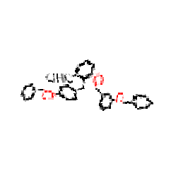 O=[C]c1cccc(OCc2cccc(OCc3ccccc3)c2)c1Cc1ccc(OCc2ccccc2)cc1